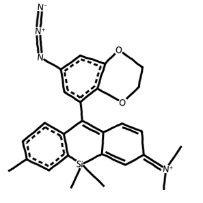 Cc1ccc2c(c1)[Si](C)(C)C1=CC(=[N+](C)C)C=CC1=C2c1cc(N=[N+]=[N-])cc2c1OCCO2